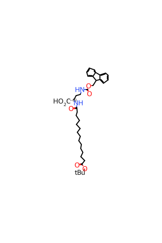 CC(C)(C)OC(=O)CCCCCCCCCCCCCC(=O)N[C@@H](CCNC(=O)OCC1c2ccccc2-c2ccccc21)C(=O)O